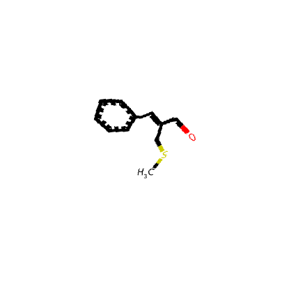 CSCC(C=O)=Cc1ccccc1